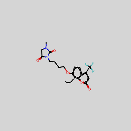 CCc1c(OCCCCN2C(=O)CN(C)C2=O)ccc2c(C(F)(F)F)cc(=O)oc12